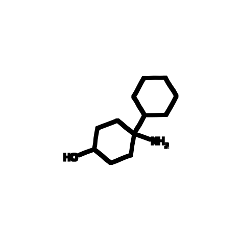 NC1(C2CCCCC2)CCC(O)CC1